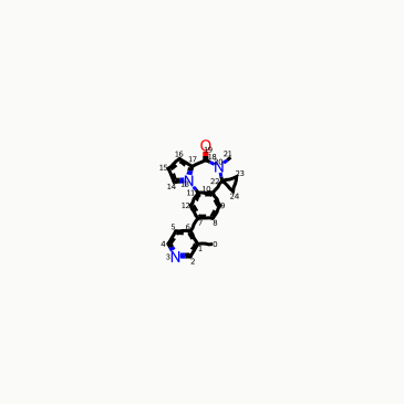 Cc1cnccc1-c1ccc2c(c1)-n1cccc1C(=O)N(C)C21CC1